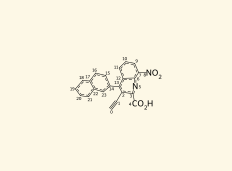 C#Cc1c(C(=O)O)nc2c([N+](=O)[O-])cccc2c1-c1ccc2ccccc2c1